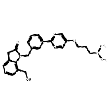 CN(C)CCCOc1cnc(-c2cccc(CN3C(=O)Cc4cccc(CO)c43)c2)nc1